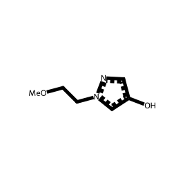 COCCn1cc(O)cn1